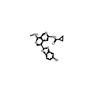 CNc1ncc(-c2nc3ccc(Br)cc3s2)c2cc(NC(=O)C3CC3)ncc12